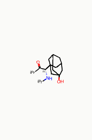 CC(C)N[C@H](C(=O)C(C)C)C12CC3CC(CC(O)(C3)C1)C2